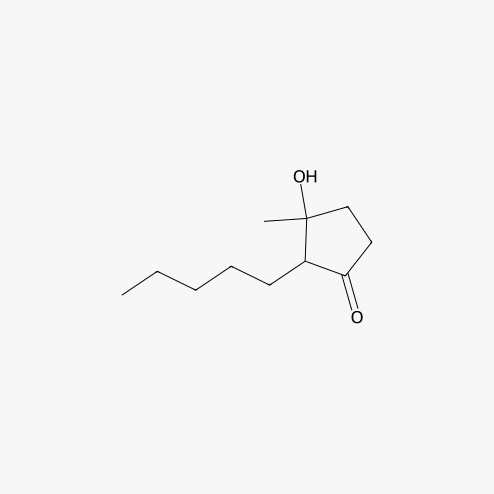 CCCCCC1C(=O)CCC1(C)O